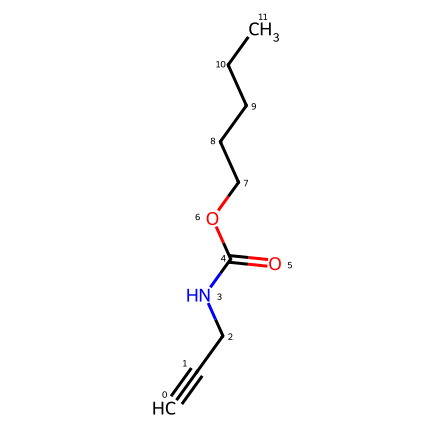 C#CCNC(=O)OCCCCC